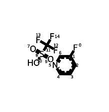 Fc1cccnc1.O=S(=O)(O)C(F)(F)F